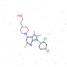 Cc1cc(N2CCC(CCO)CC2)c2c(C)c(C)n(-c3ccc(Cl)cc3Cl)c2n1